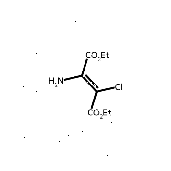 CCOC(=O)/C(N)=C(\Cl)C(=O)OCC